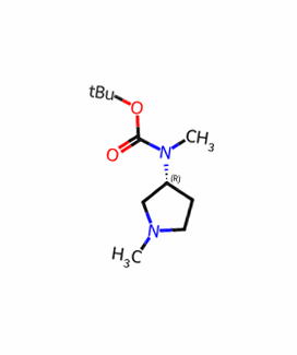 CN1CC[C@@H](N(C)C(=O)OC(C)(C)C)C1